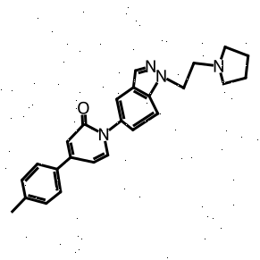 Cc1ccc(-c2ccn(-c3ccc4c(cnn4CCN4CCCC4)c3)c(=O)c2)cc1